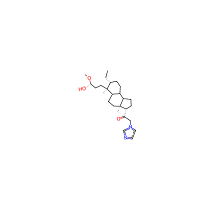 CC[C@@H]1CCC2C3CC[C@H](C(=O)Cn4ccnc4)[C@@]3(C)CCC2[C@@]1(C)CC[C@H](O)OC